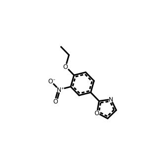 CCOc1ccc(-c2ncco2)cc1[N+](=O)[O-]